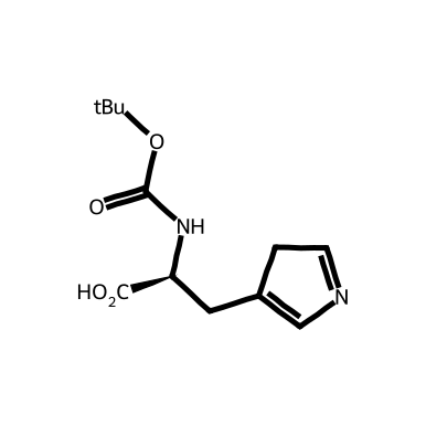 CC(C)(C)OC(=O)N[C@@H](CC1=CN=CC1)C(=O)O